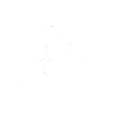 COC(=O)c1cscc1S(=O)(=O)N=C=O